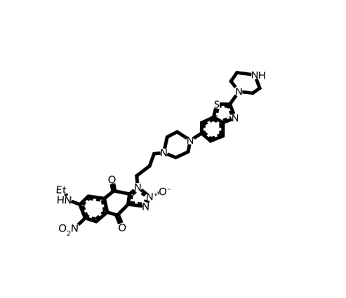 CCNc1cc2c(cc1[N+](=O)[O-])C(=O)c1n[n+]([O-])n(CCCN3CCN(c4ccc5nc(N6CCNCC6)sc5c4)CC3)c1C2=O